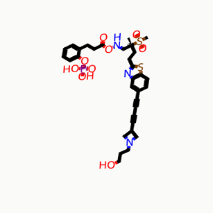 C[C@@](CCc1nc2cc(C#CC#CC3CN(CCCO)C3)ccc2s1)(CNOC(=O)CCc1ccccc1OP(=O)(O)O)S(C)(=O)=O